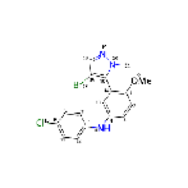 COc1ccc(Nc2ccc(Cl)cc2)cc1-c1c(Br)cnn1C